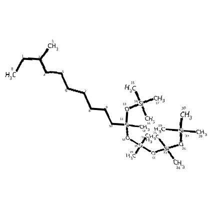 CCC(C)CCCCCCC[Si](C)(O[Si](C)(C)C)O[Si](C)(C)O[Si](C)(C)O[Si](C)(C)C